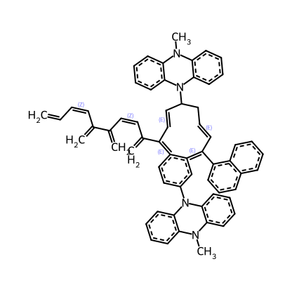 C=C/C=C\C(=C)C(=C)/C=C\C(=C)C1=c2\ccc(N3c4ccccc4N(C)c4ccccc43)c\c2=C(c2cccc3ccccc23)\C=C\CC(N2c3ccccc3N(C)c3ccccc32)\C=C\1